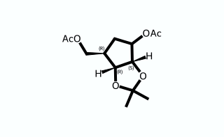 CC(=O)OC[C@H]1CC(OC(C)=O)[C@@H]2OC(C)(C)O[C@H]12